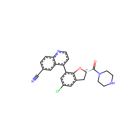 N#Cc1ccc2nccc(-c3cc(Cl)cc4c3O[C@H](C(=O)N3CCNCC3)C4)c2c1